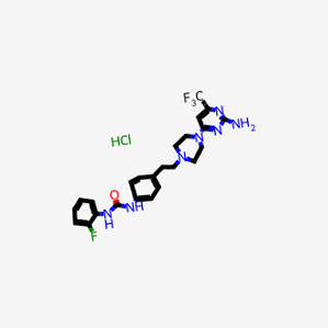 Cl.Nc1nc(N2CCN(CCc3ccc(NC(=O)Nc4ccccc4F)cc3)CC2)cc(C(F)(F)F)n1